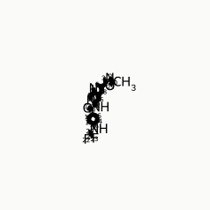 Cc1ncc(-c2cnc3cnc(NC(=O)[C@H]4CC[C@H](NCC(F)F)CC4)cc3c2)o1